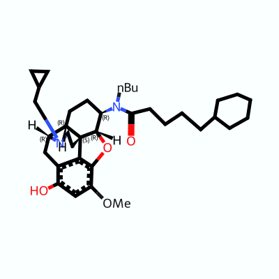 CCCCN(C(=O)CCCCC1CCCCC1)[C@@H]1CC[C@H]2[C@H]3Cc4c(O)cc(OC)c5c4[C@@]2(CCN3CC2CC2)[C@H]1O5